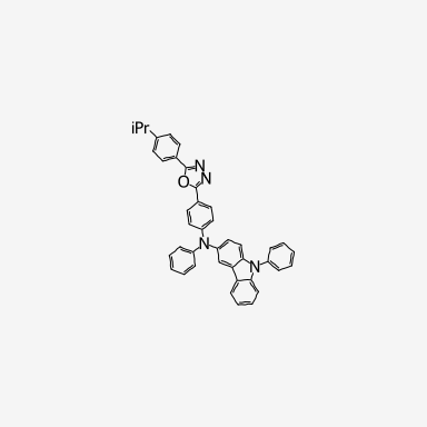 CC(C)c1ccc(-c2nnc(-c3ccc(N(c4ccccc4)c4ccc5c(c4)c4ccccc4n5-c4ccccc4)cc3)o2)cc1